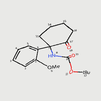 COc1ccccc1C1(NC(=O)OC(C)(C)C)CCCCC1=O